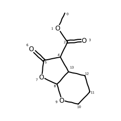 COC(=O)C1C(=O)OC2OCCCC21